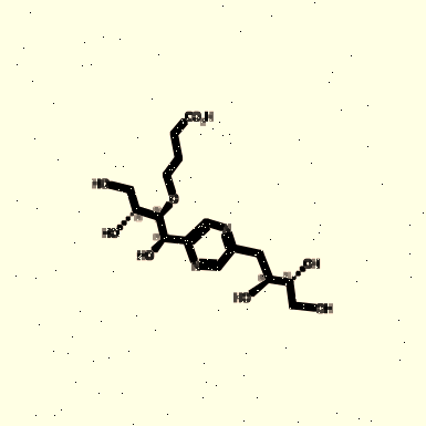 O=C(O)CCCO[C@H]([C@H](O)CO)[C@H](O)c1cnc(C[C@H](O)[C@H](O)CO)cn1